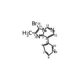 Cc1nc2c(-c3cccnc3)cncn2c1Br